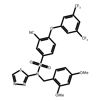 COc1ccc(CN(c2nncs2)S(=O)(=O)c2ccc(Oc3cc(C(F)(F)F)cc(C(F)(F)F)c3)c(C#N)c2)c(OC)c1